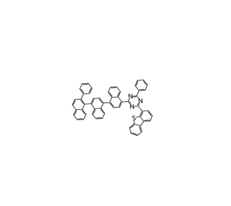 c1ccc(-c2nc(-c3ccc(-c4ccc(-c5c(-c6ccccc6)ccc6ccccc56)c5ccccc45)c4ccccc34)nc(-c3cccc4c3sc3ccccc34)n2)cc1